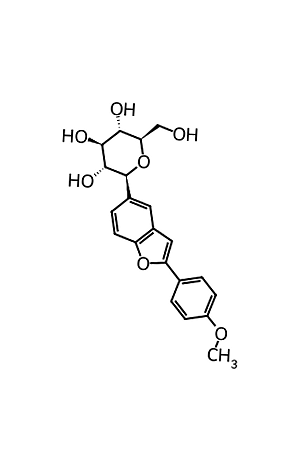 COc1ccc(-c2cc3cc([C@@H]4O[C@H](CO)[C@@H](O)[C@H](O)[C@H]4O)ccc3o2)cc1